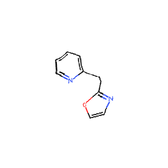 c1ccc(Cc2ncco2)nc1